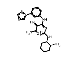 N=C(/N=C(/Nc1cccc(-n2cncn2)c1)C(=N)C(N)=O)N[C@@H]1CCCC[C@@H]1N